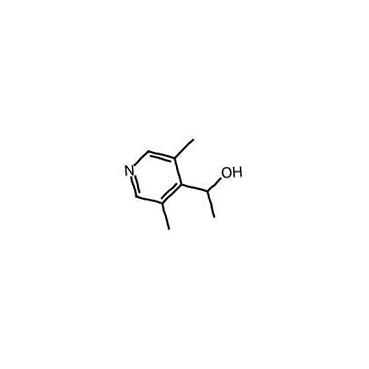 Cc1cncc(C)c1C(C)O